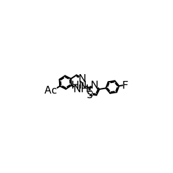 CC(=O)c1ccc(/C=N\Nc2nc(-c3ccc(F)cc3)cs2)c(N)c1